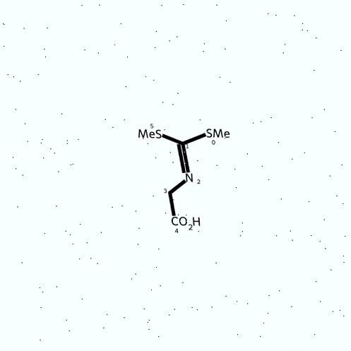 CSC(=NCC(=O)O)SC